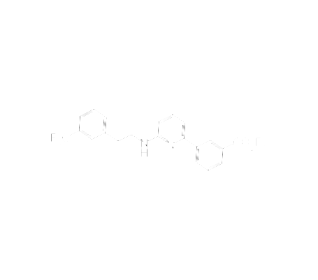 CCOC(=O)c1cccc(-c2cccc(NCCc3cccc(C(F)(F)F)c3)n2)c1